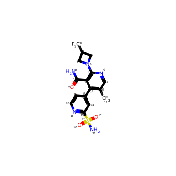 NC(=O)c1c(N2CC(C(F)(F)F)C2)ncc(C(F)(F)F)c1-c1ccnc(S(N)(=O)=O)c1